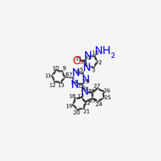 Nc1ccn(-c2nc(-c3ccccc3)nc(-n3c4ccccc4c4ccccc43)n2)c(=O)n1